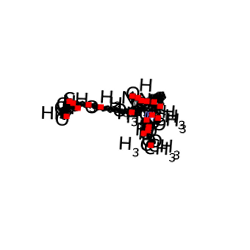 C/C(=C\C(=O)N[C@H]1CCc2cccc3c2N(C1=O)[C@H](C(=O)N[C@@H](CCC(N)=O)[C@@H](C)OCc1ccc(CCCOCCCCCCCCOCCCc2ccc4c(c2)n(C)c(=O)n4C2CCC(=O)NC2=O)cc1)C3)c1ccc(C(F)(F)P(=O)(OCOC(=O)C(C)(C)C)OCOC(=O)C(C)(C)C)cc1